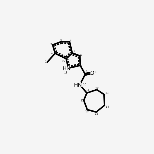 Cc1cccc2cc(C(=O)NC3CCCCCC3)[nH]c12